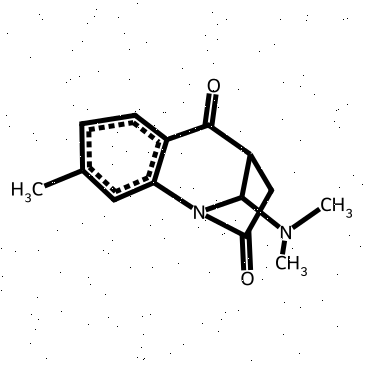 Cc1ccc2c(c1)N1C(=O)CC(C2=O)C1N(C)C